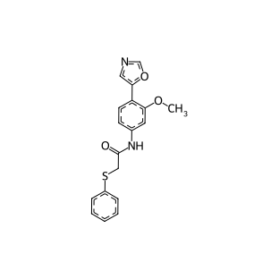 COc1cc(NC(=O)CSc2ccccc2)ccc1-c1cnco1